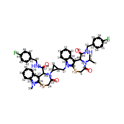 CC(C)N1C(=O)CSc2c(c3ccccc3n2CC2CC2N2C(=O)CSc3c(c4ccccc4n3C)C2C(=O)NCc2ccc(F)cc2)C1C(=O)NCc1ccc(F)cc1